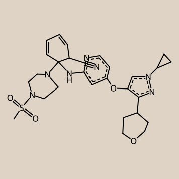 CS(=O)(=O)N1CCN(C2(Nc3cc(Oc4cn(C5CC5)nc4C4CCOCC4)ccn3)C=CC=CC2C#N)CC1